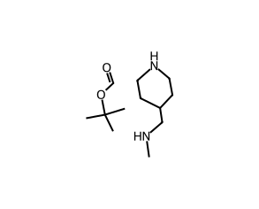 CC(C)(C)OC=O.CNCC1CCNCC1